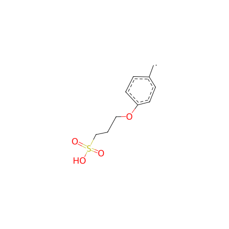 [CH2]c1ccc(OCCCS(=O)(=O)O)cc1